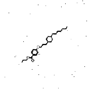 CCCCCCCC1CCC(CCCOc2ccc(C(=O)OCCC)cc2)CC1